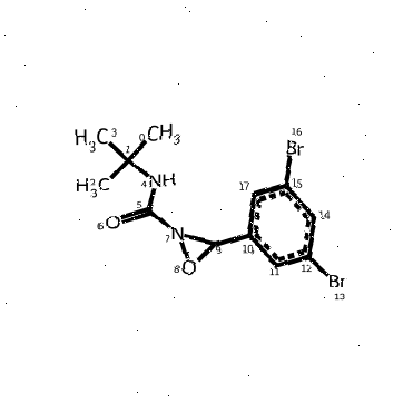 CC(C)(C)NC(=O)N1OC1c1cc(Br)cc(Br)c1